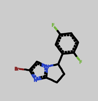 Fc1ccc(F)c(C2CCc3nc(Br)cn32)c1